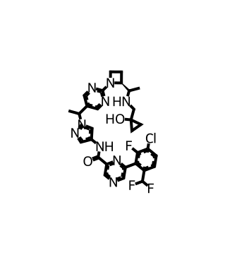 CC(NCC1(O)CC1)[C@@H]1CCN1c1ncc(C(C)n2cc(NC(=O)c3cncc(-c4c(C(F)F)ccc(Cl)c4F)n3)cn2)cn1